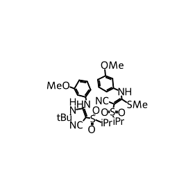 COc1cccc(NC(NC(C)(C)C)=C(C#N)S(=O)(=O)C(C)C)c1.COc1cccc(NC(SC)=C(C#N)S(=O)(=O)C(C)C)c1